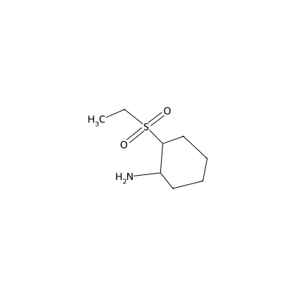 CCS(=O)(=O)C1CCCCC1N